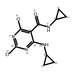 O=C(NC1CC1)c1c(Cl)nc(Cl)nc1NC1CC1